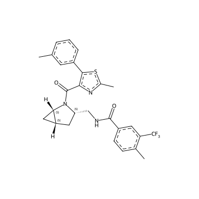 Cc1cccc(-c2sc(C)nc2C(=O)N2[C@H](CNC(=O)c3ccc(C)c(C(F)(F)F)c3)C[C@@H]3C[C@@H]32)c1